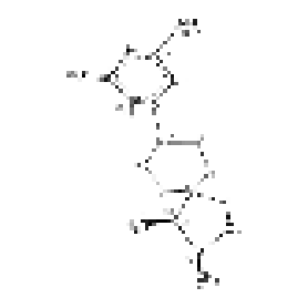 C[C@@H]1OCC2(CCN(c3nc(N)[c]c(=O)[nH]3)CC2)[C@@H]1N